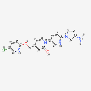 CN(C)C1CCN(c2ccc(-n3ccc(COc4ccc(Cl)cn4)cc3=O)cn2)C1